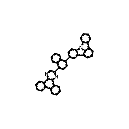 c1ccc2c(-c3cnc4c5ccccc5c5ccccc5c4n3)ccc(-c3ccc4c(c3)c3cccc5c6ccccc6n4c53)c2c1